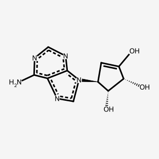 Nc1ncnc2c1ncn2[C@H]1C=C(O)[C@H](O)[C@@H]1O